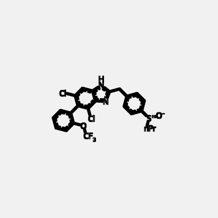 CCC[S+]([O-])c1ccc(Cc2nc3c(Cl)c(-c4ccccc4OC(F)(F)F)c(Cl)cc3[nH]2)cc1